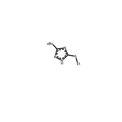 CCCCc1n[nH]c(SCC)n1